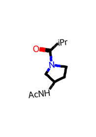 CC(=O)NC1CCN(C(=O)C(C)C)C1